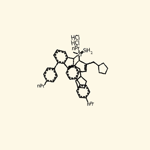 CCCc1ccc(-c2cccc3c2C=C(CC2CCCC2)[CH]3[Zr]([CH3])(=[SiH2])([CH2]CC)[CH]2C(CC3CCCC3)=Cc3c(-c4ccc(CCC)cc4)cccc32)cc1.Cl.Cl